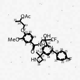 COc1cc(C(=O)NCC(O)(c2cc(C3(C)CCN3)cc(-c3ccc(F)cc3)n2)C(F)(F)F)ccc1OCC(C)OC(C)=O